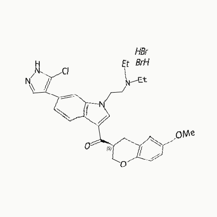 Br.Br.CCN(CC)CCn1cc(C(=O)[C@@H]2COc3ccc(OC)cc3C2)c2ccc(-c3cn[nH]c3Cl)cc21